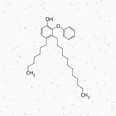 CCCCCCCCCCCCc1c(CCCCCCC)ccc(O)c1Oc1ccccc1